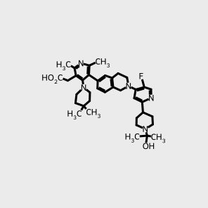 Cc1nc(C)c(-c2ccc3c(c2)CCN(c2cc(C4CCN(C(C)(C)O)CC4)ncc2F)C3)c(N2CCC(C)(C)CC2)c1CC(=O)O